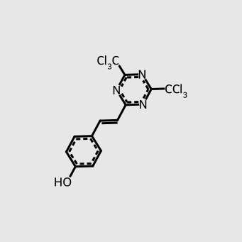 Oc1ccc(/C=C/c2nc(C(Cl)(Cl)Cl)nc(C(Cl)(Cl)Cl)n2)cc1